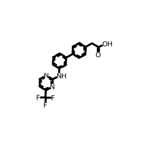 O=C(O)Cc1ccc(-c2cccc(Nc3nccc(C(F)(F)F)n3)c2)cc1